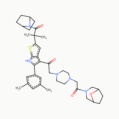 Cc1cc(C)cc(-c2[nH]c3sc(C(C)(C)C(=O)N4C5CCC4CC5)cc3c2C(=O)CN2CCN(CC(=O)N3CC4CCC(C3)O4)CC2)c1